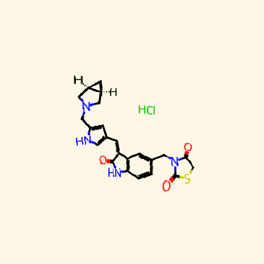 Cl.O=C1Nc2ccc(CN3C(=O)CSC3=O)cc2C1=Cc1c[nH]c(CN2C[C@H]3C[C@H]3C2)c1